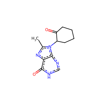 Cc1nc2c(=O)[nH]cnc2n1C1CCCCC1=O